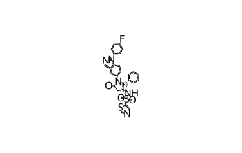 O=C1C[C@H](NS(=O)(=O)c2cncs2)[C@@H](c2ccccc2)N1c1ccc2c(cnn2-c2ccc(F)cc2)c1